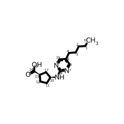 CCCCCc1cnc(N[C@H]2CC[C@@H](C(=O)O)C2)nc1